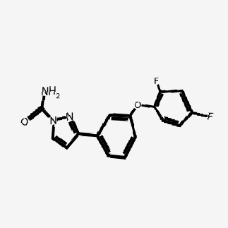 NC(=O)n1ccc(-c2cccc(Oc3ccc(F)cc3F)c2)n1